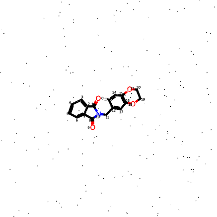 O=C1c2ccccc2C(=O)N1Cc1ccc2c(c1)OCCO2